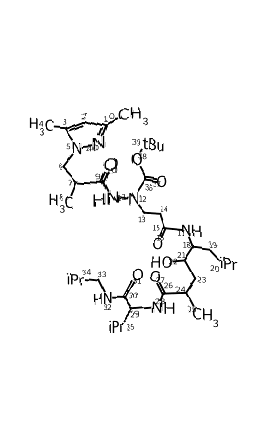 Cc1cc(C)n(CC(C)C(=O)NN(CCC(=O)NC(CC(C)C)C(O)CC(C)C(=O)NC(C(=O)NCC(C)C)C(C)C)C(=O)OC(C)(C)C)n1